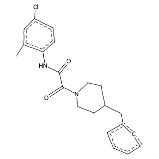 Cc1cc(Cl)ccc1NC(=O)C(=O)N1CCC(Cc2ccccc2)CC1